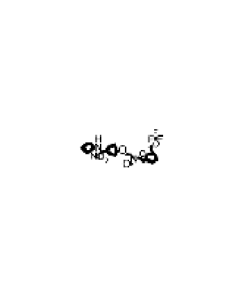 Nc1ccccc1NC(=O)c1ccc(OCCN(C=O)c2cc3cccc(COC(F)(F)F)c3o2)cc1